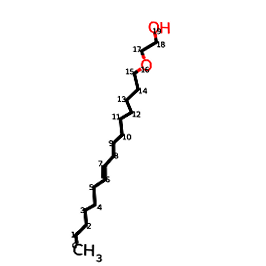 CCCCCCC=CCCCCCCCCOCCO